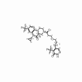 C[C@@H](COCCC(=O)N1CCN2c3ncc(C(F)(F)F)cc3N(C3CC3)C(=O)[C@@H]2C1)Nc1cn[nH]c(=O)c1C(F)(F)F